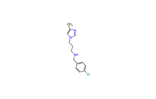 Cc1cn(CCCNCc2ccc(Cl)cc2)cn1